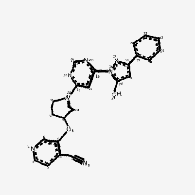 N#Cc1ccncc1OC1CCN(c2cc(-n3nc(-c4ccccc4)cc3O)ncn2)C1